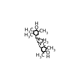 Cc1cc(CN2CCCN(Cc3cc(C)c(O)c(C)c3C)C2)c(C)c(C)c1O